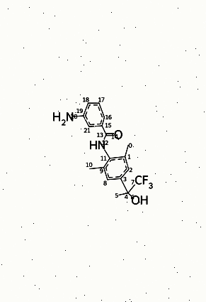 Cc1cc(C(C)(O)C(F)(F)F)cc(C)c1NC(=O)c1cccc(N)c1